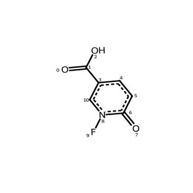 O=C(O)c1ccc(=O)n(F)c1